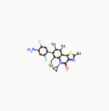 [2H]Cc1c(-c2cc(F)c(N)cc2F)c([2H])c([2H])c2c3sc([2H])nc3c(=O)n(C3CC3)c12